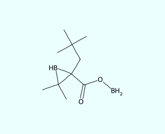 BOC(=O)C1(CC(C)(C)C)BC1(C)C